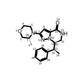 C[C@@H]1COCCN1c1cc2n(n1)[C@H]([C@@H](C)c1ccccc1)CNC2=O